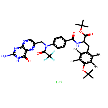 Cl.[2H]c1c([2H])c(OC(C)(C)C)c([2H])c([2H])c1CC(NC(=O)c1ccc(N(Cc2cnc3nc(N)[nH]c(=O)c3n2)C(=O)C(F)(F)F)cc1)C(=O)OC(C)(C)C